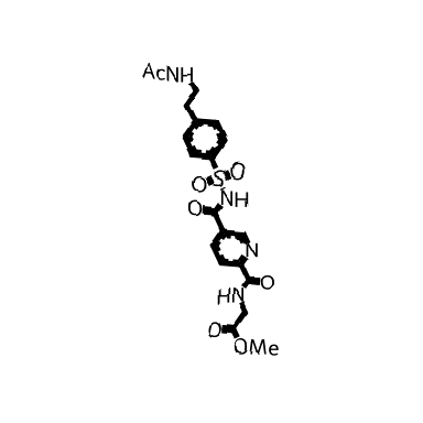 COC(=O)CNC(=O)c1ccc(C(=O)NS(=O)(=O)c2ccc(CCNC(C)=O)cc2)cn1